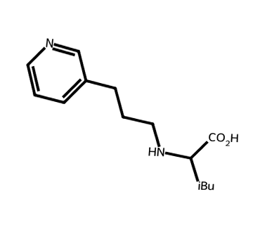 CCC(C)C(NCCCc1cccnc1)C(=O)O